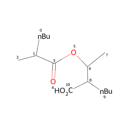 CCCCC(C)C(=O)OC(C)C(CCCC)C(=O)O